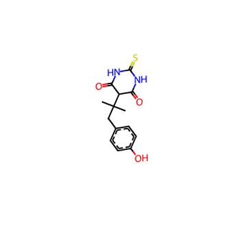 CC(C)(Cc1ccc(O)cc1)C1C(=O)NC(=S)NC1=O